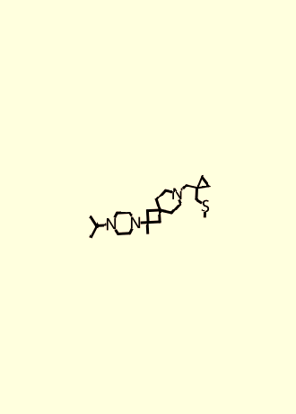 CSCC1(CN2CCC3(CC2)CC(C)(N2CCN(C(C)C)CC2)C3)CC1